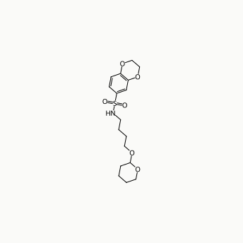 O=S(=O)(NCCCCOC1CCCCO1)c1ccc2c(c1)OCCO2